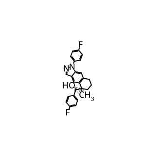 C[C@]1([C@H](O)c2ccc(F)cc2)CCCc2cc3c(cnn3-c3ccc(F)cc3)cc21